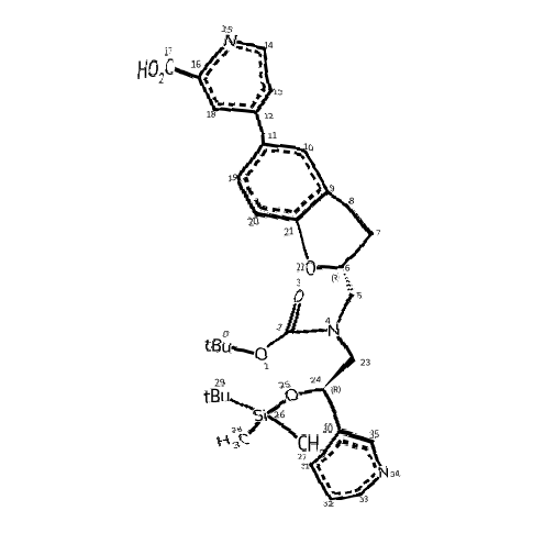 CC(C)(C)OC(=O)N(C[C@H]1CCc2cc(-c3ccnc(C(=O)O)c3)ccc2O1)C[C@H](O[Si](C)(C)C(C)(C)C)c1cccnc1